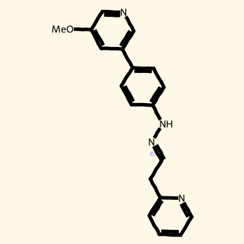 COc1cncc(-c2ccc(N/N=C/Cc3ccccn3)cc2)c1